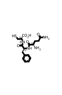 NC(=O)CC[C@H](N)C(=O)N[C@@H](Cc1ccccc1)C(=O)N[C@H](CS)C(=O)O